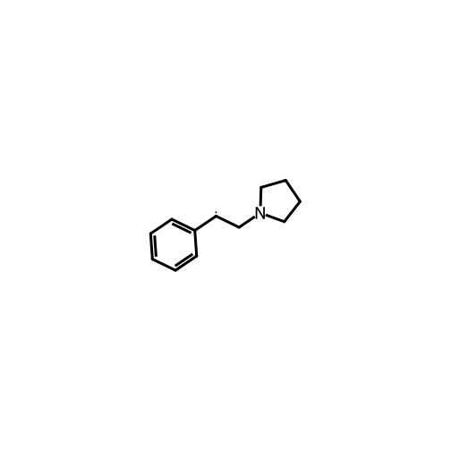 [CH](CN1CCCC1)c1ccccc1